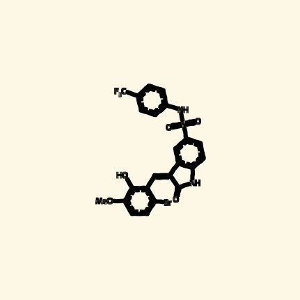 COc1ccc(Br)c(C=C2C(=O)Nc3ccc(S(=O)(=O)Nc4ccc(C(F)(F)F)cc4)cc32)c1O